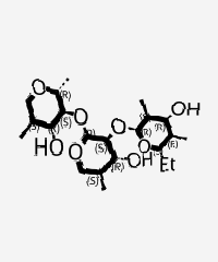 CC[C@@H]1O[C@H](O[C@@H]2[C@@H](O[C@H]3[C@H](O)[C@@H](C)CO[C@@H]3C)OC[C@H](C)[C@H]2O)[C@@H](C)[C@H](O)[C@H]1C